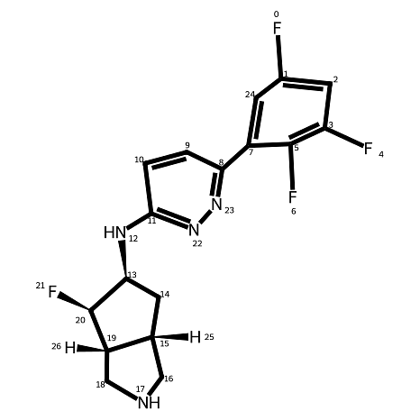 Fc1cc(F)c(F)c(-c2ccc(N[C@H]3C[C@@H]4CNC[C@@H]4[C@H]3F)nn2)c1